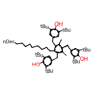 CCCCCCCCCCCCCCCCCCCc1c(Cc2cc(C(C)(C)C)c(O)c(C(C)(C)C)c2)c(C)c(Cc2cc(C(C)(C)C)c(O)c(C(C)(C)C)c2)c(C)c1Cc1cc(C(C)(C)C)c(O)c(C(C)(C)C)c1